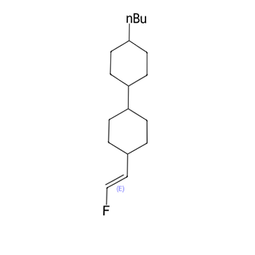 CCCCC1CCC(C2CCC(/C=C/F)CC2)CC1